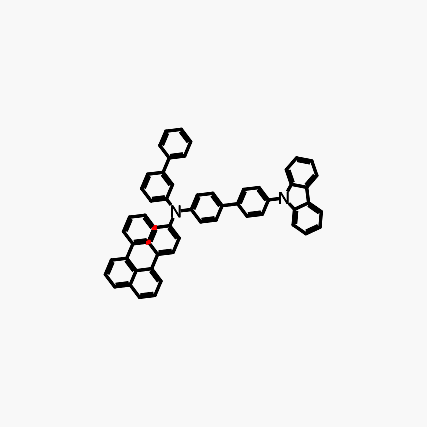 c1ccc(-c2cccc(N(c3ccc(-c4ccc(-n5c6ccccc6c6ccccc65)cc4)cc3)c3ccc(-c4cccc5cccc(-c6ccccc6)c45)cc3)c2)cc1